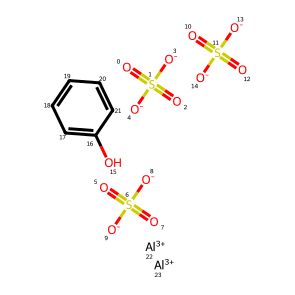 O=S(=O)([O-])[O-].O=S(=O)([O-])[O-].O=S(=O)([O-])[O-].Oc1ccccc1.[Al+3].[Al+3]